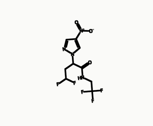 O=C(NCC(F)(F)F)C(CC(F)F)n1cc([N+](=O)[O-])cn1